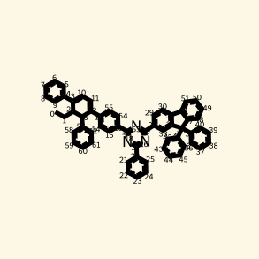 CCC1C(c2ccccc2)=CC=C(c2ccc(-c3nc(-c4ccccc4)nc(-c4ccc5c(c4)C(c4ccccc4)(c4ccccc4)c4ccccc4-5)n3)cc2)C1c1ccccc1